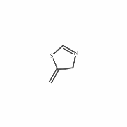 C=C1CN=[C]S1